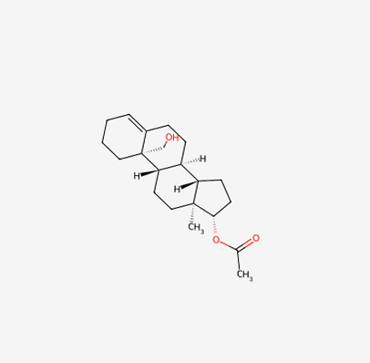 CC(=O)O[C@H]1CC[C@H]2[C@@H]3CCC4=CCCC[C@]4(CO)[C@H]3CC[C@]12C